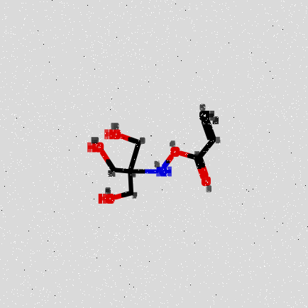 C=CC(=O)ONC(CO)(CO)CO